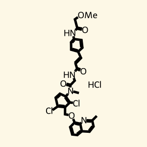 COCC(=O)Nc1ccc(C=CC(=O)NCC(=O)N(C)c2ccc(Cl)c(COc3cccc4ccc(C)nc34)c2Cl)cc1.Cl